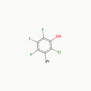 CC(C)c1c(F)c(F)c(F)c(O)c1Cl